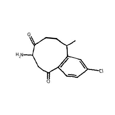 CC1CCC(=O)C(N)CC(=O)c2ccc(Cl)cc21